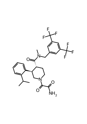 CC(C)c1ccccc1[C@@H]1CN(C(=O)C(N)=O)CC[C@H]1C(=O)N(C)Cc1cc(C(F)(F)F)cc(C(F)(F)F)c1